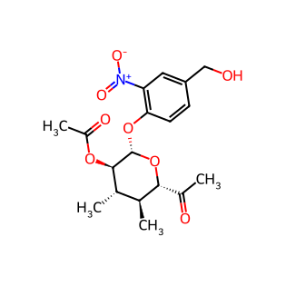 CC(=O)O[C@H]1[C@H](Oc2ccc(CO)cc2[N+](=O)[O-])O[C@H](C(C)=O)[C@@H](C)[C@@H]1C